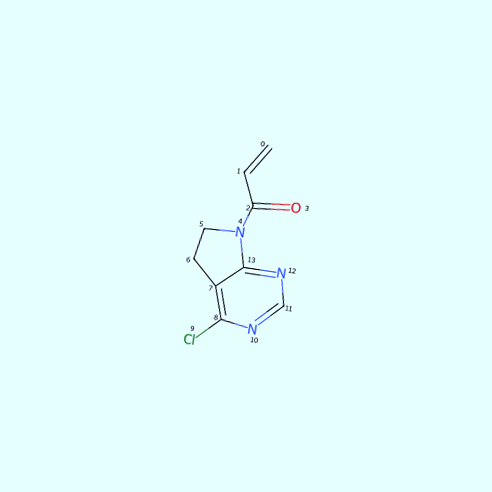 C=CC(=O)N1CCc2c(Cl)ncnc21